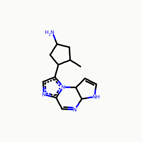 CC1CC(N)CC1c1cnc2n1C1C=CNC1N=C2